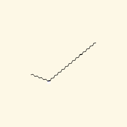 CCCCCCCCC=CCCCCCCC[CH]CCCCCCCC/C=C\CCCCCCCC